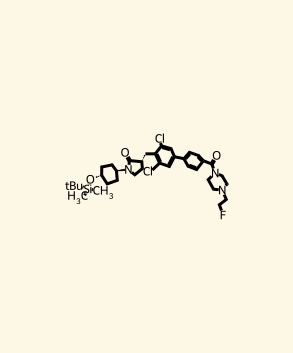 CC(C)(C)[Si](C)(C)O[C@H]1CC[C@H](N2CC[C@@H](Cc3c(Cl)cc(-c4ccc(C(=O)N5CCN(CCF)CC5)cc4)cc3Cl)C2=O)CC1